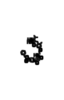 Cc1cc(OCCNC(=O)C(C)(C)C(=O)N2CCN(C(=O)OCc3ccccc3)CC2)ccc1Cc1c(C(C)C)[nH][nH]c1=O